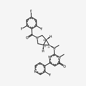 CN(c1nc(-c2ccncc2F)cc(=O)n1C)[C@H]1[C@@H]2CN(C(=O)c3c(F)cc(F)cc3F)C[C@@H]21